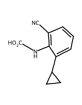 N#Cc1cccc(C2CC2)c1NC(=O)O